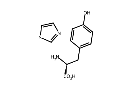 N[C@@H](Cc1ccc(O)cc1)C(=O)O.c1cscn1